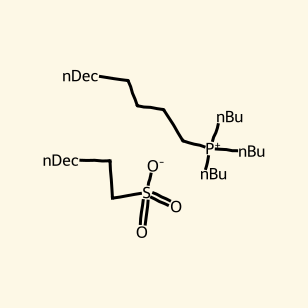 CCCCCCCCCCCCCC[P+](CCCC)(CCCC)CCCC.CCCCCCCCCCCCS(=O)(=O)[O-]